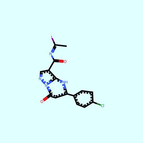 C/C(I)=N\C(=O)c1cnn2c(=O)cc(-c3ccc(Cl)cc3)[nH]c12